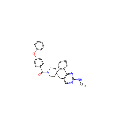 CNc1ncc2c(n1)-c1ccccc1C1(CCN(C(=O)c3ccc(Oc4ccccc4)cc3)CC1)C2